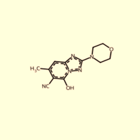 Cc1cc2nc(N3CCOCC3)nn2c(O)c1C#N